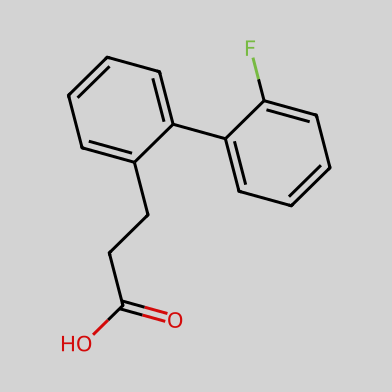 O=C(O)CCc1ccccc1-c1ccccc1F